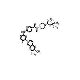 Cc1nc2ccc(-c3nc(Nc4ccc(C(=O)NN5CCN(C(=O)OC(C)(C)C)CC5)cn4)ncc3F)cc2nc1C